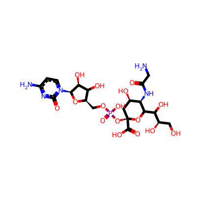 NCC(=O)N[C@H]1C(C(O)[C@H](O)CO)O[C@](OP(=O)(O)OC[C@H]2O[C@@H](n3ccc(N)nc3=O)[C@@H](O)C2O)(C(=O)O)C[C@H]1O